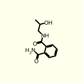 CC(O)CNC(=O)c1ccccc1C(N)=O